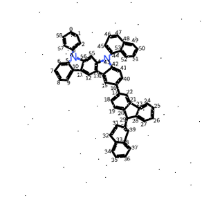 c1ccc(-n2c3ccccc3c3cc4c5cc(-c6ccc7c(c6)-c6ccccc6C7c6ccc7ccccc7c6)ccc5n(-c5cccc6ccccc56)c4cc32)cc1